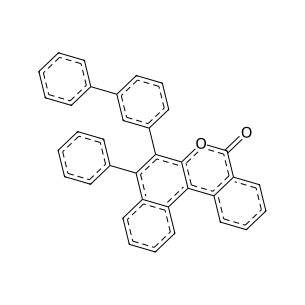 O=c1oc2c(-c3cccc(-c4ccccc4)c3)c(-c3ccccc3)c3ccccc3c2c2ccccc12